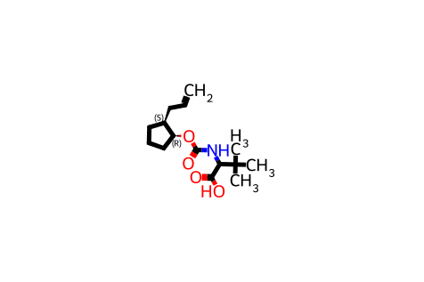 C=CC[C@@H]1CCC[C@H]1OC(=O)NC(C(=O)O)C(C)(C)C